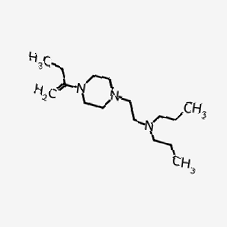 C=C(CC)N1CCN(CCN(CCC)CCC)CC1